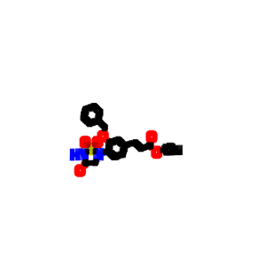 CC(C)(C)OC(=O)/C=C/c1ccc(N2CC(=O)NS2(=O)=O)c(OCc2ccccc2)c1